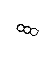 c1ccc2cc3c(cc2c1)CC[N]C3